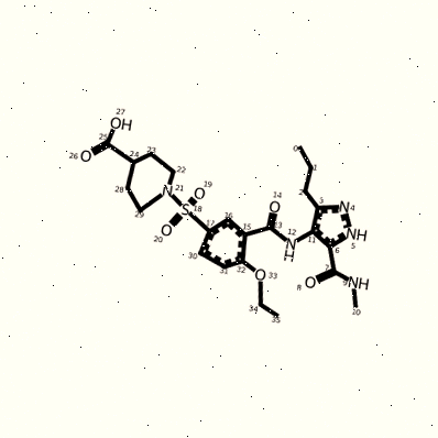 CCCc1n[nH]c(C(=O)NC)c1NC(=O)c1cc(S(=O)(=O)N2CCC(C(=O)O)CC2)ccc1OCC